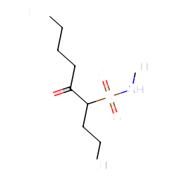 CCCCC(=O)C(CCC)S(=O)(=O)NC